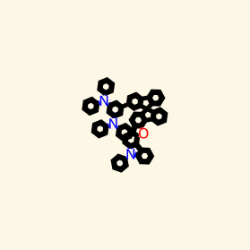 c1ccc(N(c2ccccc2)c2cc(-c3ccc4c(c3)C3(c5ccccc5-4)c4ccccc4-c4c3ccc3c4oc4c3ccc3c4c4ccccc4n3-c3ccccc3)cc(N(c3ccccc3)c3ccccc3)c2)cc1